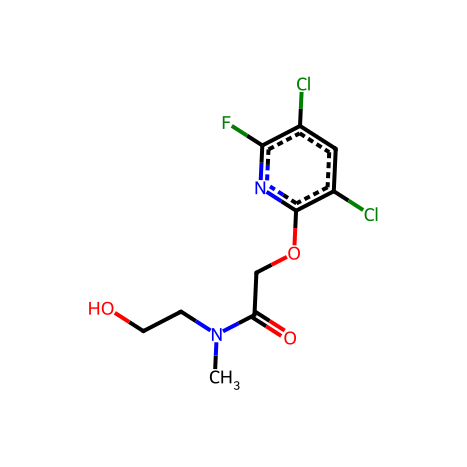 CN(CCO)C(=O)COc1nc(F)c(Cl)cc1Cl